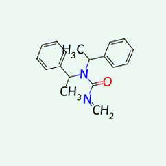 C=NC(=O)N(C(C)c1ccccc1)C(C)c1ccccc1